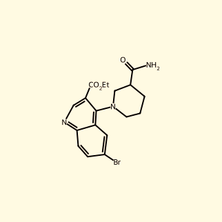 CCOC(=O)c1cnc2ccc(Br)cc2c1N1CCCC(C(N)=O)C1